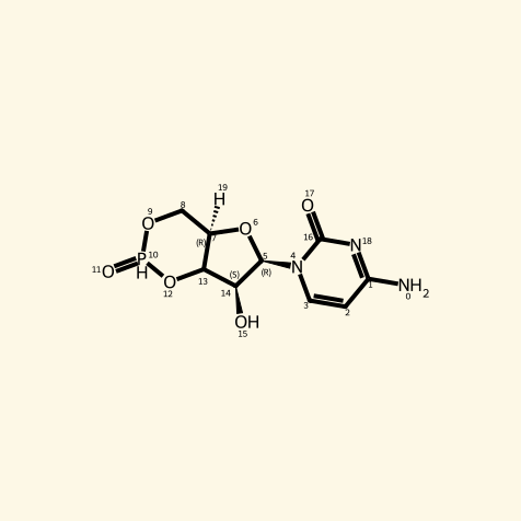 Nc1ccn([C@@H]2O[C@@H]3CO[PH](=O)OC3[C@@H]2O)c(=O)n1